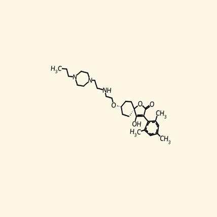 CCCN1CCN(CCNCCO[C@H]2CC[C@]3(CC2)OC(=O)C(c2c(C)cc(C)cc2C)=C3O)CC1